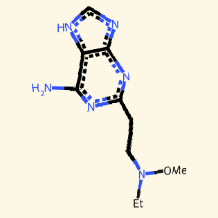 CCN(CCc1nc(N)c2[nH]cnc2n1)OC